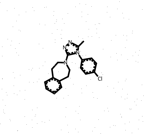 Cc1nnc(N2CCc3ccccc3CC2)n1-c1ccc(Cl)cc1